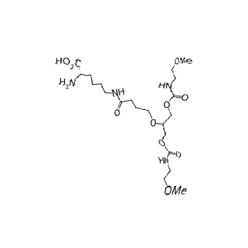 COCCNC(=O)OCC(COC(=O)NCCOC)OCCCC(=O)NCCCC[C@H](N)C(=O)O